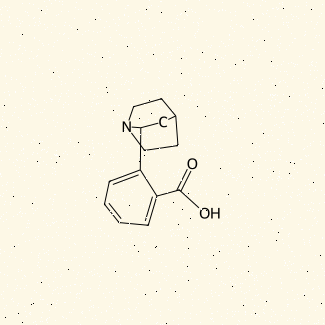 O=C(O)c1ccccc1C1CC2CCN1CC2